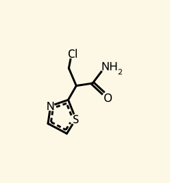 NC(=O)C(CCl)c1nccs1